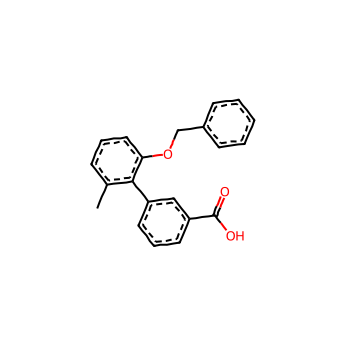 Cc1cccc(OCc2ccccc2)c1-c1cccc(C(=O)O)c1